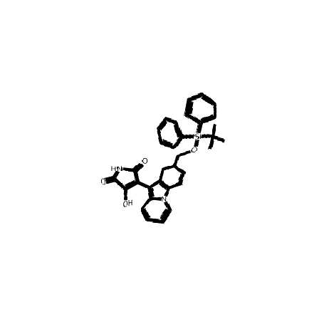 CC(C)(C)[Si](OCC1CCc2c(c(C3=C(O)C(=O)NC3=O)c3ccccn23)C1)(c1ccccc1)c1ccccc1